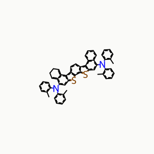 Cc1ccccc1N(c1ccccc1C)c1cc2sc3c(ccc4c3sc3cc(N(c5ccccc5C)c5ccccc5C)c5ccccc5c34)c2c2c1=CCCC=2